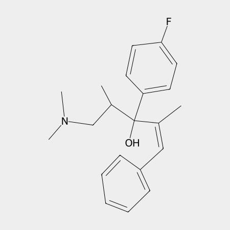 CC(=Cc1ccccc1)C(O)(c1ccc(F)cc1)C(C)CN(C)C